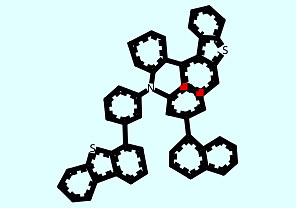 c1cc(-c2cccc3ccccc23)cc(N(c2cccc(-c3cccc4c3sc3ccccc34)c2)c2ccccc2-c2cccc3sc4ccccc4c23)c1